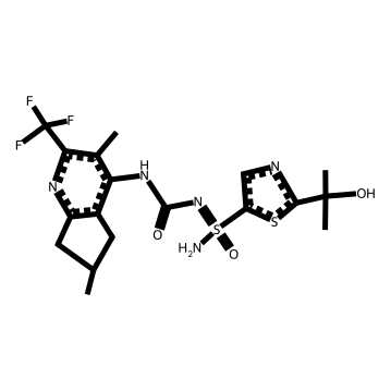 Cc1c(C(F)(F)F)nc2c(c1NC(=O)N=S(N)(=O)c1cnc(C(C)(C)O)s1)CC(C)C2